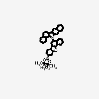 CC1(C)OB(C2=CC3Oc4c(cc(-n5c6cc7ccccc7cc6c6ccc7ccccc7c65)c5ccccc45)C3C=C2)OC1(C)C